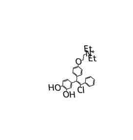 CC[N+](C)(CC)CCOc1ccc(/C(=C(/Cl)c2ccccc2)c2ccc(O)c(O)c2)cc1